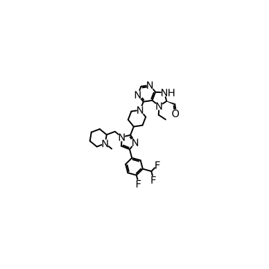 CCN1c2c(ncnc2N2CCC(c3nc(-c4ccc(F)c(C(F)F)c4)cn3CC3CCCCN3C)CC2)N[C@H]1C=O